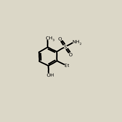 CCc1c(O)ccc(C)c1S(N)(=O)=O